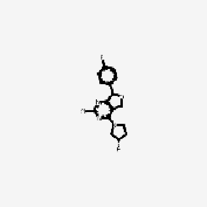 Fc1ccc(C2OCc3c2nc(Cl)nc3N2CC[C@H](F)C2)cc1